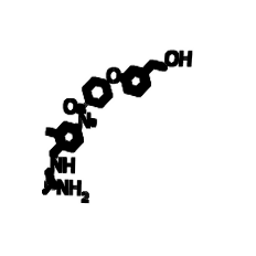 Cc1cc(N(C)C(=O)[C@H]2CC[C@H](Oc3cccc(CCO)c3)CC2)ccc1CNC[C@H](C)N